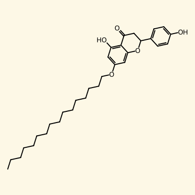 CCCCCCCCCCCCCCCCOc1cc(O)c2c(c1)OC(c1ccc(O)cc1)CC2=O